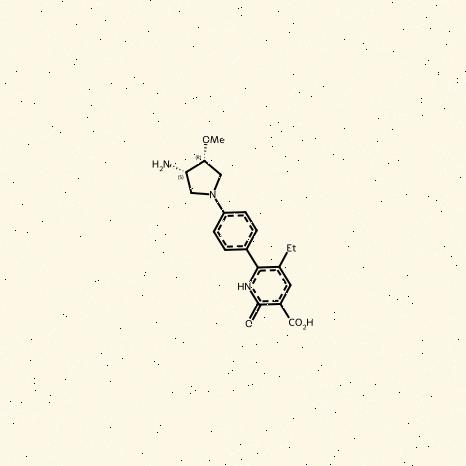 CCc1cc(C(=O)O)c(=O)[nH]c1-c1ccc(N2C[C@H](N)[C@H](OC)C2)cc1